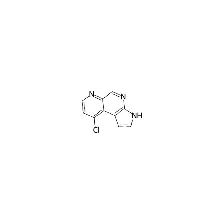 Clc1ccnc2cnc3[nH]ccc3c12